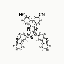 N#Cc1ccc2c(c1)c1cc(C#N)ccc1c1nc3c(-c4ccc5sc6ccccc6c5c4)sc(-c4ccc5sc6ccccc6c5c4)c3nc21